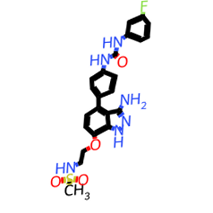 CS(=O)(=O)NCCOc1ccc(-c2ccc(NC(=O)Nc3cccc(F)c3)cc2)c2c(N)n[nH]c12